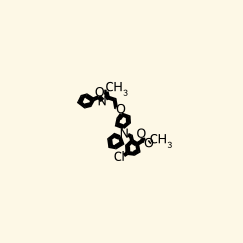 COC(=O)c1ccc(Cl)cc1CN(c1ccccc1)c1ccc(OCCc2nc(-c3ccccc3)oc2C)cc1